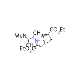 CCOC(=O)c1ccc2cc(C(=O)OCC)n(C(C)C(C)NC)c2c1